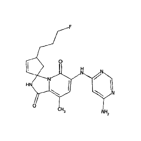 Cc1cc(Nc2cc(N)ncn2)c(=O)n2c1C(=O)NC21C=CC(CCCF)C1